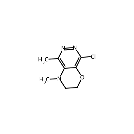 Cc1nnc(Cl)c2c1N(C)CCO2